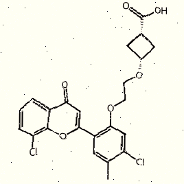 Cc1cc(-c2cc(=O)c3cccc(Cl)c3o2)c(OCCO[C@H]2C[C@@H](C(=O)O)C2)cc1Cl